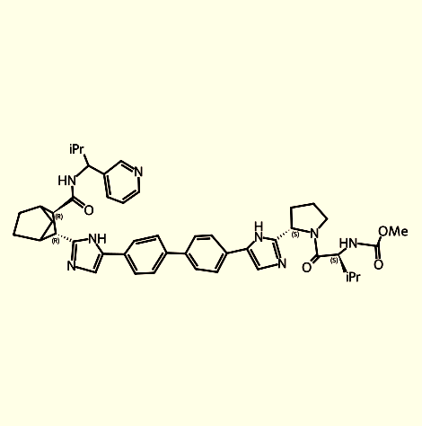 COC(=O)N[C@H](C(=O)N1CCC[C@H]1c1ncc(-c2ccc(-c3ccc(-c4cnc([C@@H]5C6CCC(C6)[C@H]5C(=O)NC(c5cccnc5)C(C)C)[nH]4)cc3)cc2)[nH]1)C(C)C